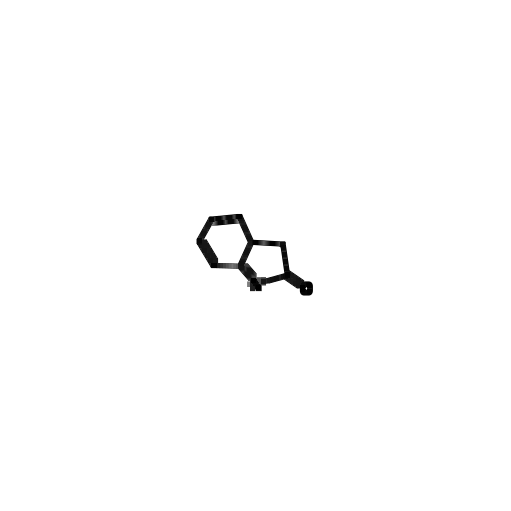 O=C1CC2C=CC=CC2=[N+]1